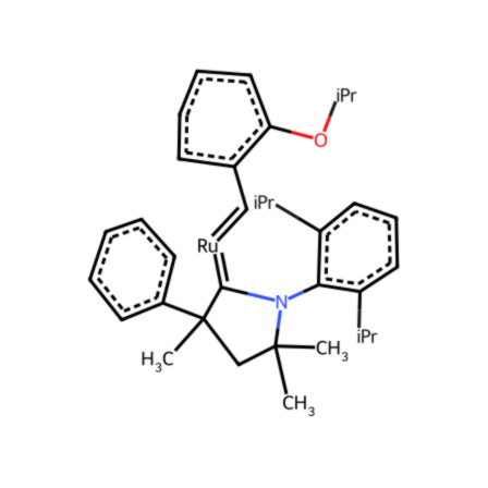 CC(C)Oc1ccccc1[CH]=[Ru]=[C]1N(c2c(C(C)C)cccc2C(C)C)C(C)(C)CC1(C)c1ccccc1